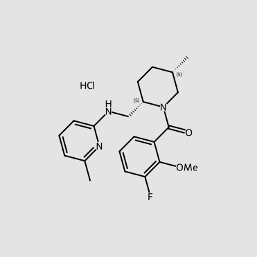 COc1c(F)cccc1C(=O)N1C[C@@H](C)CC[C@H]1CNc1cccc(C)n1.Cl